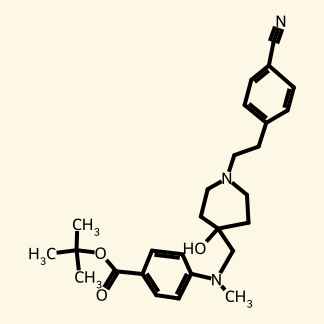 CN(CC1(O)CCN(CCc2ccc(C#N)cc2)CC1)c1ccc(C(=O)OC(C)(C)C)cc1